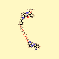 CNC(C)C(=O)N[C@H](C(=O)N1CC[C@H]2CCN(CCc3ccc(OCCOCCOCCOCCOc4cc5ccn(-c6cc7c(N)cccc7cn6)c5cn4)cc3)C[C@H]21)C1CCCCC1